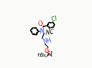 CC(C)(C)[Si](C)(C)OCCNCCN(C(=O)c1cc(Cl)ccc1C#N)c1ccccc1